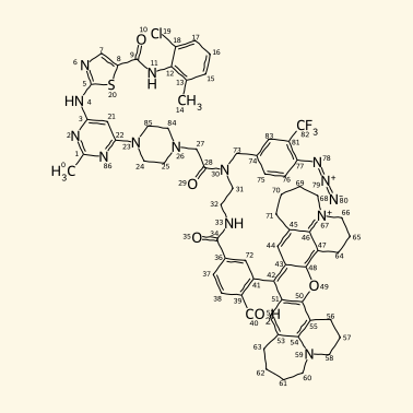 Cc1nc(Nc2ncc(C(=O)Nc3c(C)cccc3Cl)s2)cc(N2CCN(CC(=O)N(CCNC(=O)c3ccc(C(=O)O)c(C4=c5cc6c7c(c5Oc5c4cc4c8c5CCCN8CCCC4)CCC[N+]=7CCCC6)c3)Cc3ccc(N=[N+]=[N-])c(C(F)(F)F)c3)CC2)n1